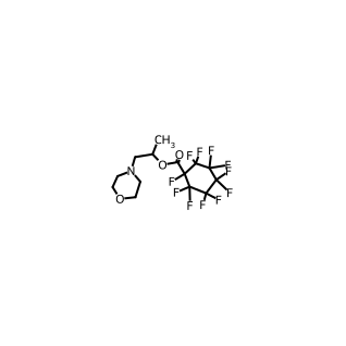 CC(CN1CCOCC1)OC(=O)C1(F)C(F)(F)C(F)(F)C(F)(F)C(F)(F)C1(F)F